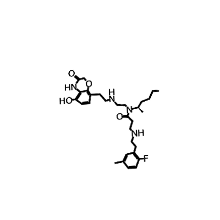 CCCC[C@@H](C)N(CCNCCc1ccc(O)c2c1OCC(=O)N2)C(=O)CCNCCc1cc(C)ccc1F